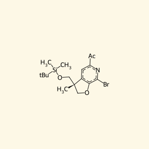 CC(=O)c1cc2c(c(Br)n1)OC[C@]2(C)CO[Si](C)(C)C(C)(C)C